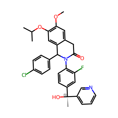 COc1cc2c(cc1OC(C)C)C(c1ccc(Cl)cc1)N(c1ccc([C@](C)(O)c3cccnc3)cc1F)C(=O)C2